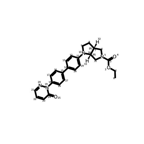 CCOC(=O)N1C[C@H]2CCN(c3ccc(-c4ccc(-n5ncccc5=O)cc4)cc3)[C@H]2C1